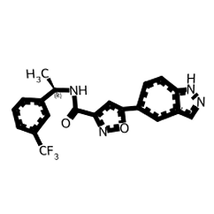 C[C@@H](NC(=O)c1cc(-c2ccc3[nH]ncc3c2)on1)c1cccc(C(F)(F)F)c1